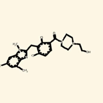 Cc1cc(C(F)(F)F)cc2c1nc(Cc1c(Cl)ccc(C(=O)N3CCN(CCO)CC3)c1Cl)n2C